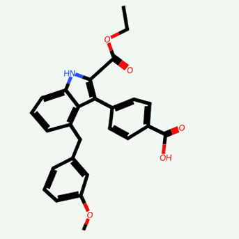 CCOC(=O)c1[nH]c2cccc(Cc3cccc(OC)c3)c2c1-c1ccc(C(=O)O)cc1